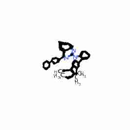 C#CC1=C(/C=C\C)C(C)(C)c2cc3c4ccccc4n(-c4nc(-c5ccc(C6=CCCC=C6)cc5)c5ccccc5n4)c3cc21